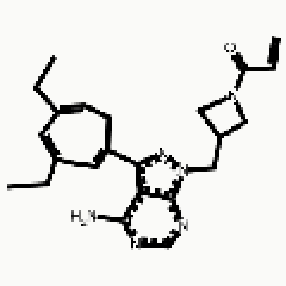 C=CC(=O)N1CC(Cn2nc(C3=CC(CC)=CC(CC)=CC3)c3c(N)ncnc32)C1